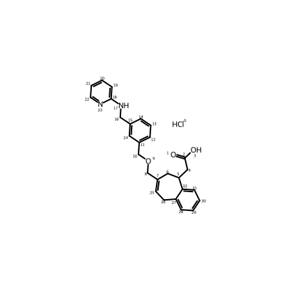 Cl.O=C(O)CC1CC(COCc2cccc(CNc3ccccn3)c2)=CCc2ccccc21